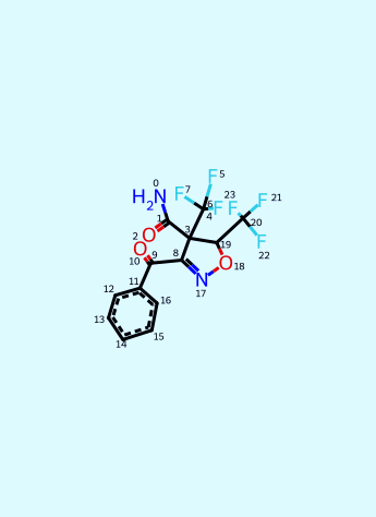 NC(=O)C1(C(F)(F)F)C(C(=O)c2ccccc2)=NOC1C(F)(F)F